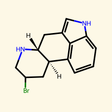 BrC1CN[C@@H]2Cc3c[nH]c4cccc(c34)[C@H]2C1